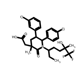 CCC(CCC(C)(O)C(F)(F)F)N1C(=O)C(C)(CC(=O)O)CC(c2cccc(Cl)c2)C1c1ccc(Cl)cc1